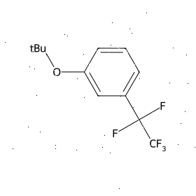 CC(C)(C)Oc1cccc(C(F)(F)C(F)(F)F)c1